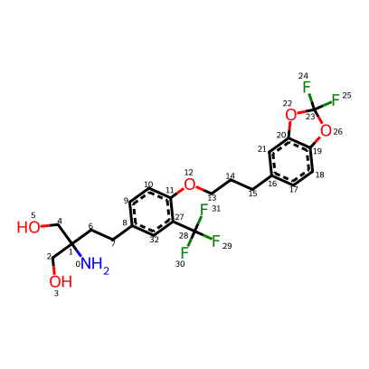 NC(CO)(CO)CCc1ccc(OCCCc2ccc3c(c2)OC(F)(F)O3)c(C(F)(F)F)c1